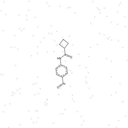 O=[As]c1ccc(NC(=O)C2CCC2)cc1